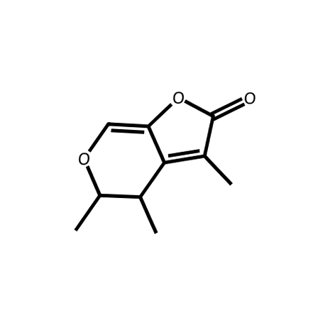 CC1=C2C(=COC(C)C2C)OC1=O